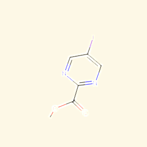 COC(=O)c1ncc(I)cn1